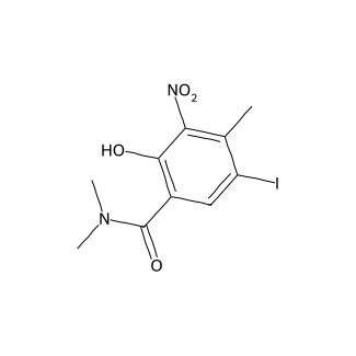 Cc1c(I)cc(C(=O)N(C)C)c(O)c1[N+](=O)[O-]